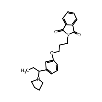 CCC(c1cccc(OCCCN2C(=O)c3ccccc3C2=O)c1)N1CCCC1